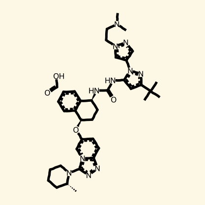 C[C@@H]1CCCCN1c1nnc2ccc(O[C@@H]3CC[C@H](NC(=O)Nc4cc(C(C)(C)C)nn4-c4cnn(CCN(C)C)c4)c4ccccc43)cn12.O=CO